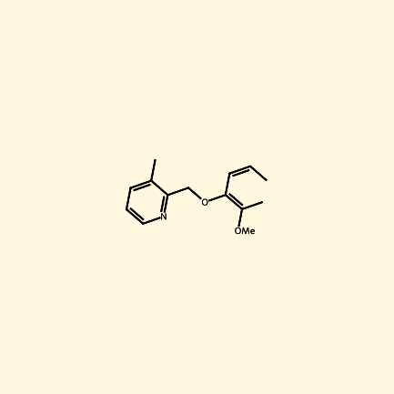 C/C=C\C(OCc1ncccc1C)=C(/C)OC